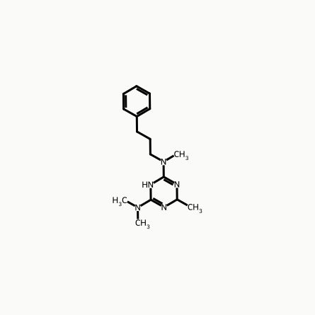 CC1N=C(N(C)C)NC(N(C)CCCc2ccccc2)=N1